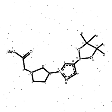 CC(C)COC(=O)CN1CCC(n2cc(B3OC(C)(C)C(C)(C)O3)cn2)C1